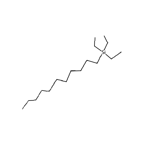 CCCCCCCCCCC[Si](CC)(CC)CC